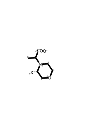 CC(C(=O)[O-])N1CCOCC1.[K+]